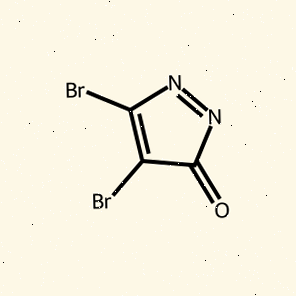 O=C1N=NC(Br)=C1Br